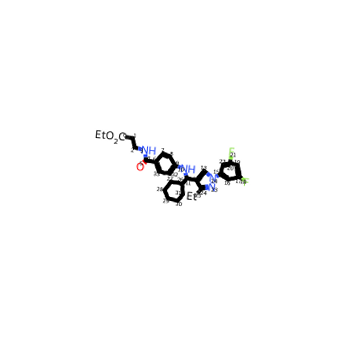 CCOC(=O)CCNC(=O)c1ccc(NC(c2cn(-c3cc(F)cc(F)c3)nc2CC)C2CCCCC2)cc1